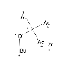 CCC(C)OC(C(C)=O)(C(C)=O)C(C)=O.[Zr]